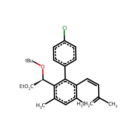 C=C(C)/C=C\c1c(C)cc(C)c([C@H](OC(C)(C)C)C(=O)OCC)c1-c1ccc(Cl)cc1